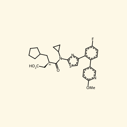 COc1ccc(-c2ccc(F)cc2-c2csc(N(C(=O)[C@@H](CC(=O)O)CC3CCCC3)C3CC3)n2)cn1